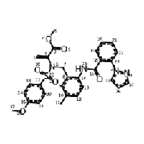 C=C(C(=O)OC)N(Cc1cc(C)ccc1NC(=O)c1ccccc1-n1cccn1)S(=O)(=O)c1ccc(OC)cc1